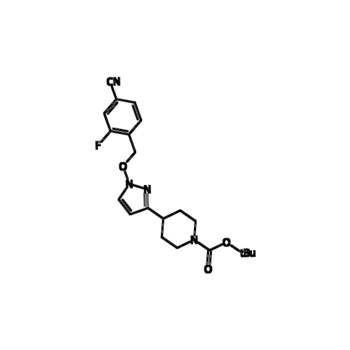 CC(C)(C)OC(=O)N1CCC(c2ccn(OCc3ccc(C#N)cc3F)n2)CC1